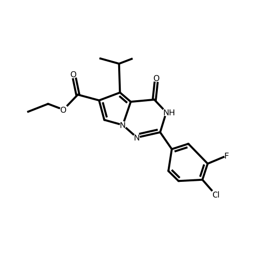 CCOC(=O)c1cn2nc(-c3ccc(Cl)c(F)c3)[nH]c(=O)c2c1C(C)C